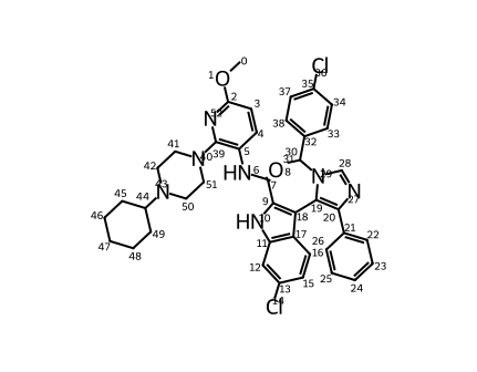 COc1ccc(NC(=O)c2[nH]c3cc(Cl)ccc3c2-c2c(-c3ccccc3)ncn2C(C)c2ccc(Cl)cc2)c(N2CCN(C3CCCCC3)CC2)n1